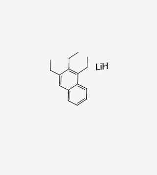 CCc1cc2ccccc2c(CC)c1CC.[LiH]